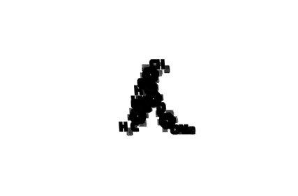 COc1ccc(COc2ccc(NS(=O)(=O)c3ccc(C)cc3)c(NS(=O)(=O)c3ccc(C)cc3)c2)cc1